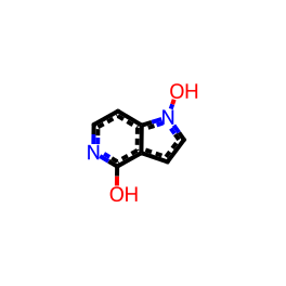 Oc1nccc2c1ccn2O